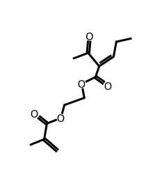 C=C(C)C(=O)OCCOC(=O)/C(=C/CC)C(C)=O